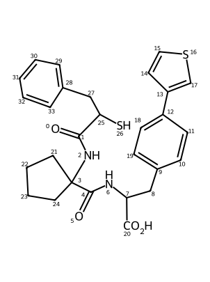 O=C(NC1(C(=O)NC(Cc2ccc(-c3ccsc3)cc2)C(=O)O)CCCC1)C(S)Cc1ccccc1